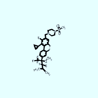 C=C(C)C(F)(F)C(OC)(c1ccc(-c2c(F)cc(CN3CCN(S(C)(=O)=O)CC3)c(F)c2C2CC2)c(F)c1)C(F)(F)F